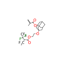 C=C(C)C(=O)OC12CC3CC(CC(OCCOC(=O)C(C(F)(F)F)C(F)(F)C(F)(F)F)(C3)C1)C2